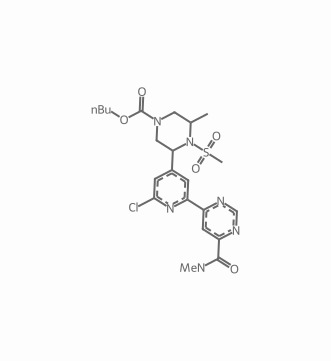 CCCCOC(=O)N1CC(C)N(S(C)(=O)=O)C(c2cc(Cl)nc(-c3cc(C(=O)NC)ncn3)c2)C1